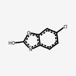 Oc1nc2c[c]c(Cl)cc2o1